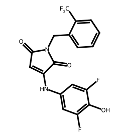 O=C1C=C(Nc2cc(F)c(O)c(F)c2)C(=O)N1Cc1ccccc1C(F)(F)F